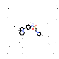 O=S(=O)(CCN1CCCC1)Nc1ccc([C@@H]2CC[C@H]3CCCCN32)cc1